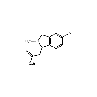 COC(=O)CC1c2ccc(Br)cc2CN1C